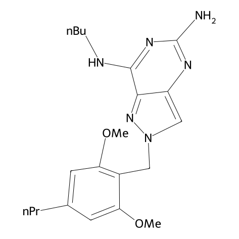 CCCCNc1nc(N)nc2cn(Cc3c(OC)cc(CCC)cc3OC)nc12